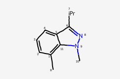 Cc1cccc2c(C(C)C)nn(C)c12